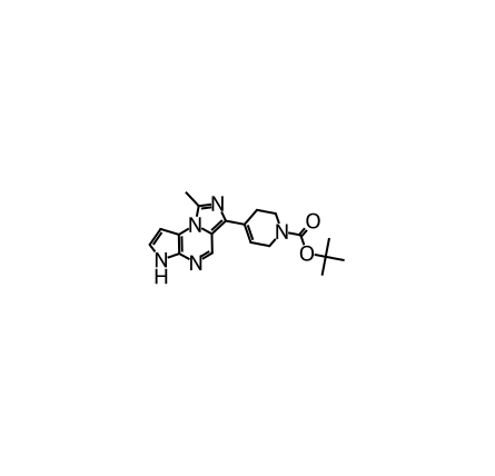 Cc1nc(C2=CCN(C(=O)OC(C)(C)C)CC2)c2cnc3[nH]ccc3n12